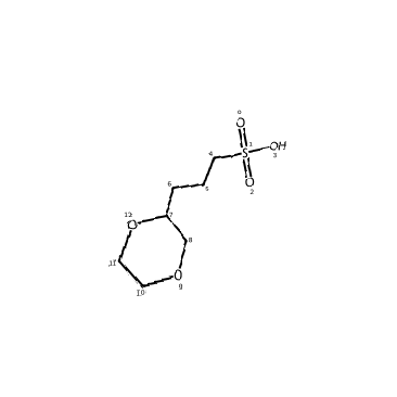 O=S(=O)(O)CCCC1COCCO1